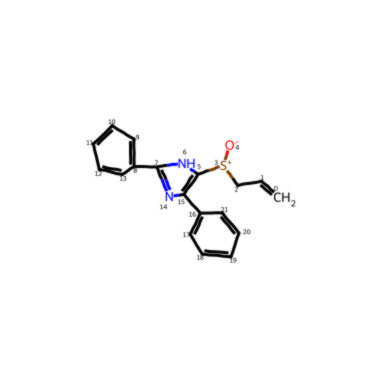 C=CC[S+]([O-])c1[nH]c(-c2ccccc2)nc1-c1ccccc1